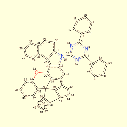 c1ccc(-c2nc(-c3ccccc3)nc(-n3c4ccc5c(c4c4c6ccccc6ccc43)Oc3ccccc3C53c4ccccc4-c4ccccc43)n2)cc1